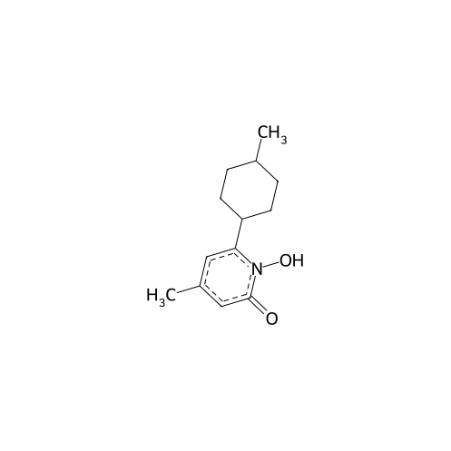 Cc1cc(C2CCC(C)CC2)n(O)c(=O)c1